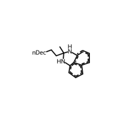 CCCCCCCCCCCCC1(C)Nc2cccc3cccc(c23)N1